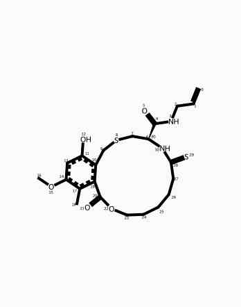 C=CCNC(=O)[C@@H]1CSCc2c(O)cc(OC)c(C)c2C(=O)OCCCCCC(=S)N1